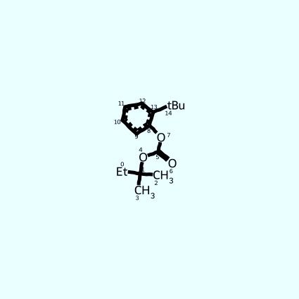 CCC(C)(C)OC(=O)Oc1ccccc1C(C)(C)C